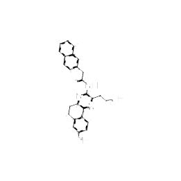 CCCc1nc2c(nc1NC(=O)Cc1ccc3ccccc3c1)CCc1cc(O)ccc1-2